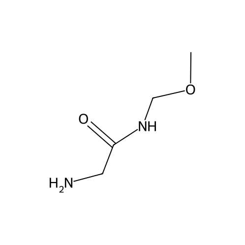 COCNC(=O)CN